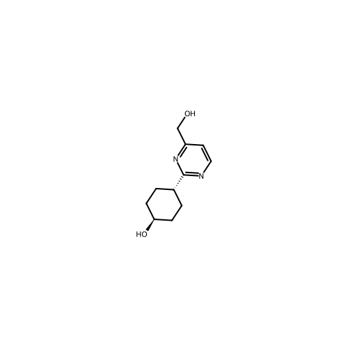 OCc1ccnc([C@H]2CC[C@H](O)CC2)n1